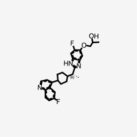 CC(O)COc1cc2nc([C@H](C)C3CCC(c4ccnc5ccc(F)cc45)CC3)[nH]c2cc1F